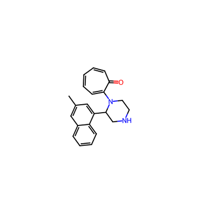 Cc1cc(C2CNCCN2c2cccccc2=O)c2ccccc2c1